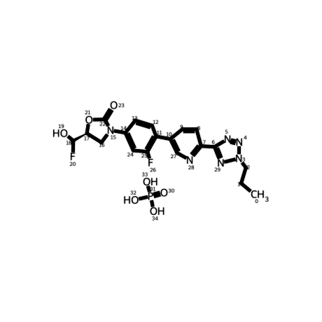 CCCn1nnc(-c2ccc(-c3ccc(N4C[C@@H](C(O)F)OC4=O)cc3F)cn2)n1.O=P(O)(O)O